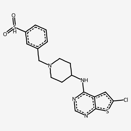 O=[SH](=O)c1cccc(CN2CCC(Nc3ncnc4sc(Cl)cc34)CC2)c1